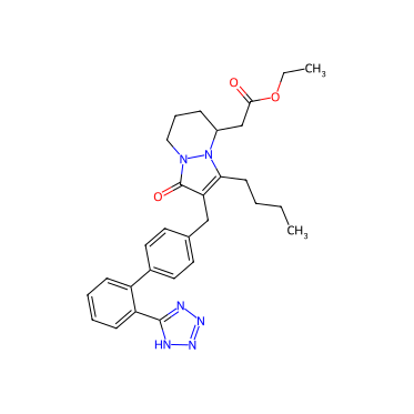 CCCCc1c(Cc2ccc(-c3ccccc3-c3nnn[nH]3)cc2)c(=O)n2n1C(CC(=O)OCC)CCC2